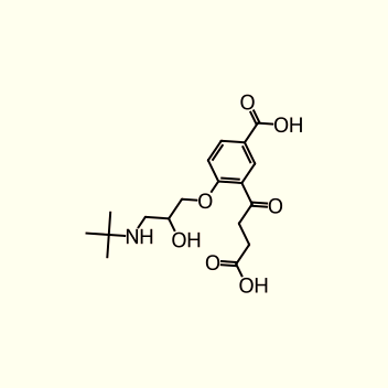 CC(C)(C)NCC(O)COc1ccc(C(=O)O)cc1C(=O)CCC(=O)O